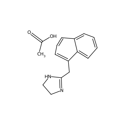 CC(=O)O.c1ccc2c(CC3=NCCN3)cccc2c1